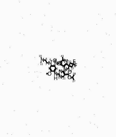 COc1cc(N(C)CCN(C)C)c([N+](=O)[O-])cc1Nc1ncc(C(=O)OC(C)C)c(N2CC3(CC(F)(F)C3)c3nc(C)ccc32)n1